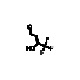 O=CC=C(O)C(F)(F)F